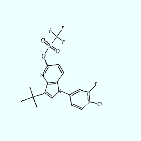 CC(C)(C)c1cn(-c2ccc(Cl)c(F)c2)c2ccc(OS(=O)(=O)C(F)(F)F)nc12